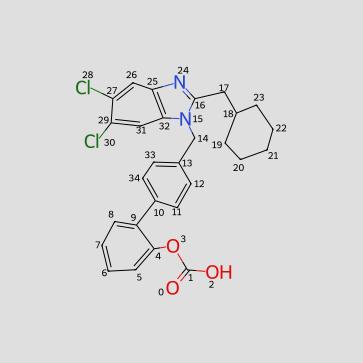 O=C(O)Oc1ccccc1-c1ccc(Cn2c(CC3CCCCC3)nc3cc(Cl)c(Cl)cc32)cc1